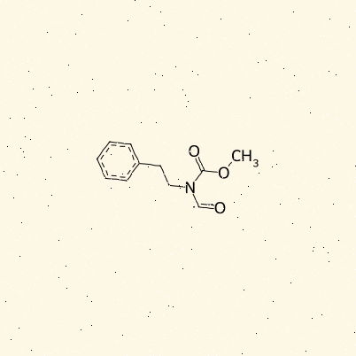 COC(=O)N([C]=O)CCc1ccccc1